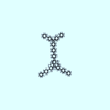 CC1(C)c2cc(-c3ccc(-c4ccccc4)cc3)ccc2N2c3ccc(-c4ccc(-c5ccccc5)cc4)cc3C(C)(C)c3cc(-c4ccc(-c5ccc(-c6ccc(N(c7ccc(-c8ccccc8)cc7)c7ccc(-c8ccccc8)cc7)cc6)cc5)cc4)cc1c32